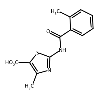 Cc1ccccc1C(=O)Nc1nc(C)c(C(=O)O)s1